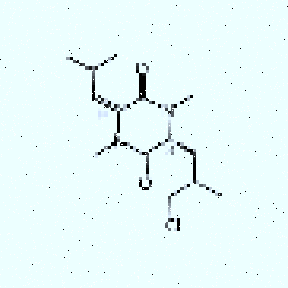 CC(C)/C=C1\C(=O)N(C)[C@@H](CC(C)CCl)C(=O)N1C